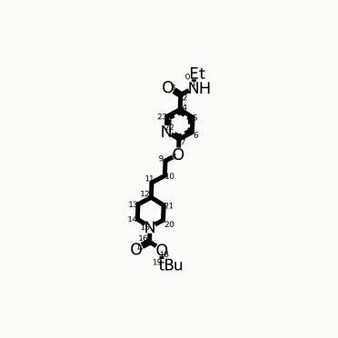 CCNC(=O)c1ccc(OCCCC2CCN(C(=O)OC(C)(C)C)CC2)nc1